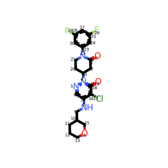 O=C1CC(n2ncc(NCC3CCCOC3)c(Cl)c2=O)CCN1c1cc(F)cc(F)c1